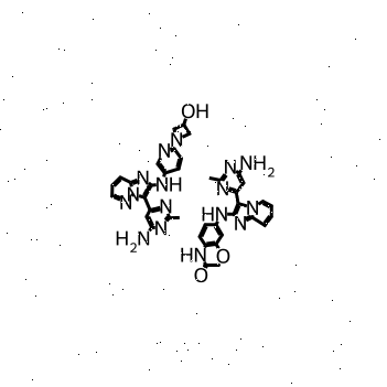 Cc1nc(N)cc(-c2c(Nc3ccc(N4CC(O)C4)nc3)nc3cccnn23)n1.Cc1nc(N)cc(-c2c(Nc3ccc4c(c3)OCC(=O)N4)nc3ccccn23)n1